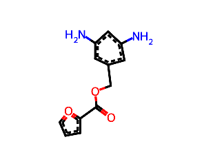 Nc1cc(N)cc(COC(=O)c2ccco2)c1